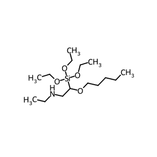 CCCCCOC(CNCC)[Si](OCC)(OCC)OCC